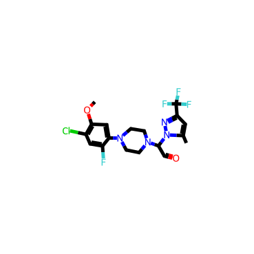 COc1cc(N2CCN(C(C=O)n3nc(C(F)(F)F)cc3C)CC2)c(F)cc1Cl